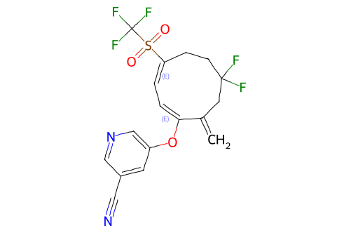 C=C1CC(F)(F)CC/C(S(=O)(=O)C(F)(F)F)=C\C=C/1Oc1cncc(C#N)c1